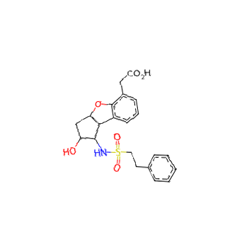 O=C(O)Cc1cccc2c1OC1CC(O)C(NS(=O)(=O)CCc3ccccc3)C21